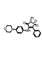 CC(C)N1C(=O)C(Nc2ccc(N3CCOCC3)cc2)=C(c2ccccc2)S1(=O)=O